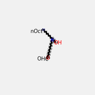 CCCCCCCC/C=C\CCCCCCCCN(CCO)CCCCCCCCCCCOC=O